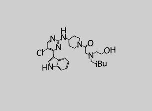 CCC(C)CN(CCO)CC(=O)N1CCC(Nc2ncc(Cl)c(-c3c[nH]c4ccccc34)n2)CC1